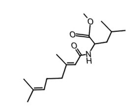 COC(=O)C(CC(C)C)NC(=O)/C=C(\C)CCC=C(C)C